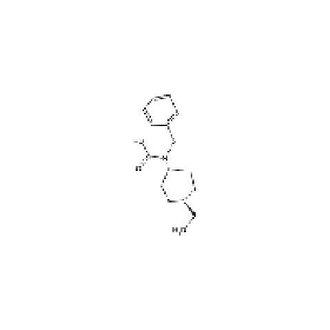 NC[C@H]1CC[C@H](N(Cc2ccccc2)C(=O)O)CC1